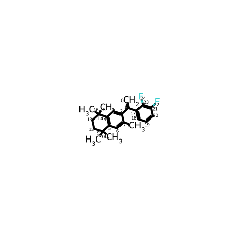 C=C(c1cc2c(cc1C)C(C)(C)CCC2(C)C)c1cccc(F)c1F